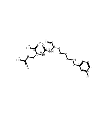 O=C[C@H](CCCCNCc1cccc(I)c1)NC(=O)N[C@@H](CCC(=O)O)C(=O)O